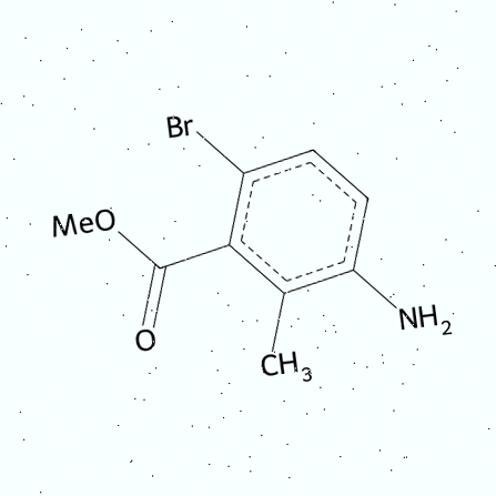 COC(=O)c1c(Br)ccc(N)c1C